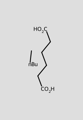 CCCCC.O=C(O)CCCCC(=O)O